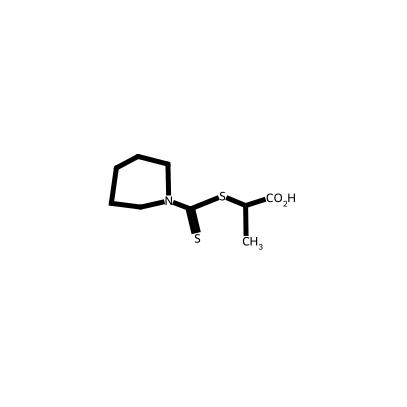 CC(SC(=S)N1CCCCC1)C(=O)O